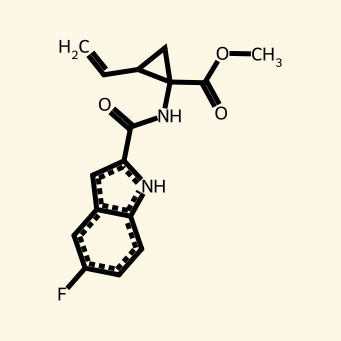 C=CC1CC1(NC(=O)c1cc2cc(F)ccc2[nH]1)C(=O)OC